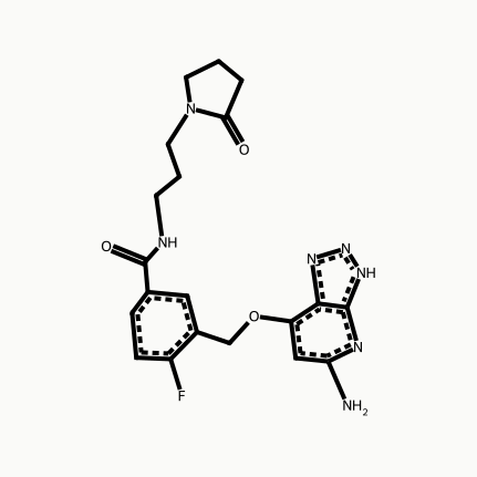 Nc1cc(OCc2cc(C(=O)NCCCN3CCCC3=O)ccc2F)c2nn[nH]c2n1